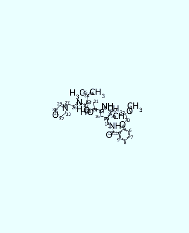 COCCOc1ccccc1C(=O)NC[C@@H](C[C@H](N)[C@@H](O)C[C@H](C(=O)NCCN1CCOCC1)C(C)C)C(C)C